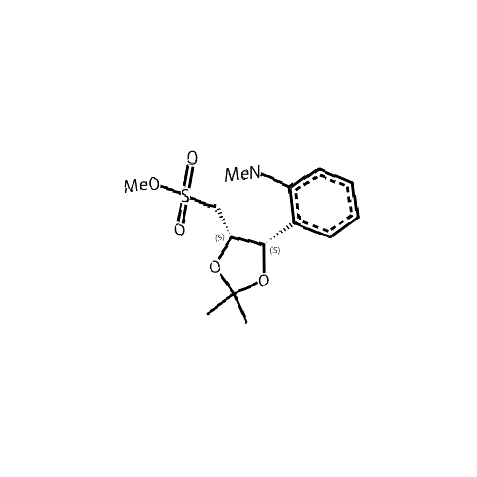 CNc1ccccc1[C@@H]1OC(C)(C)O[C@@H]1CS(=O)(=O)OC